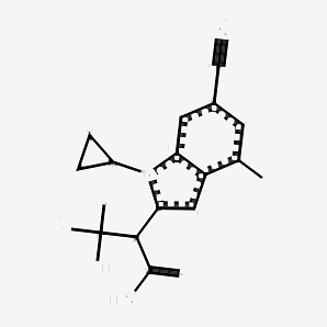 CC(C)(C)C(C(N)=O)c1cc2c(F)cc(C#N)cc2n1C1CC1